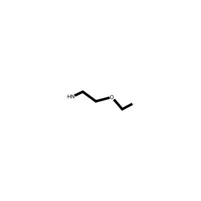 [CH2]COCC[NH]